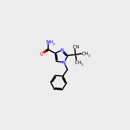 CC(C)(C#N)c1nc(C(N)=O)cn1Cc1ccccc1